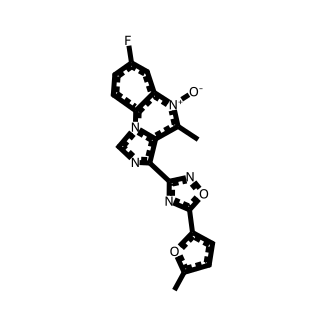 Cc1ccc(-c2nc(-c3ncn4c3c(C)[n+]([O-])c3cc(F)ccc34)no2)o1